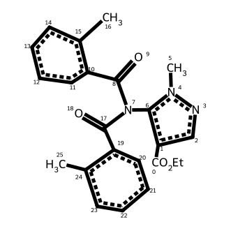 CCOC(=O)c1cnn(C)c1N(C(=O)c1ccccc1C)C(=O)c1ccccc1C